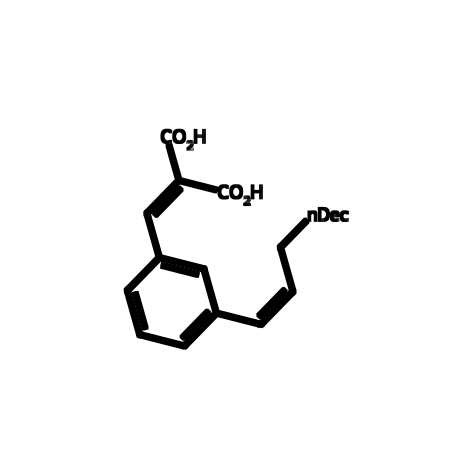 CCCCCCCCCCC/C=C\c1cccc(C=C(C(=O)O)C(=O)O)c1